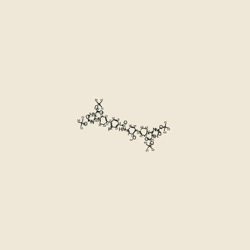 COc1cc(NC(=O)c2ccc(C3=CCN(C(=NC(=O)OC(C)(C)C)NC(=O)OC(C)(C)C)CC3)c(F)c2)ccc1C1=CCN(C(=NC(=O)OC(C)(C)C)NC(=O)OC(C)(C)C)CC1